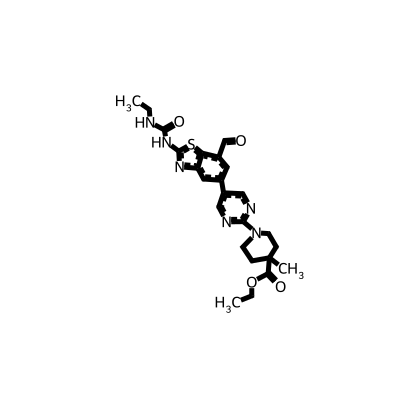 CCNC(=O)Nc1nc2cc(-c3cnc(N4CCC(C)(C(=O)OCC)CC4)nc3)cc(C=O)c2s1